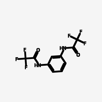 O=C(Nc1cccc(NC(=O)C(F)(F)F)c1)C(F)(F)F